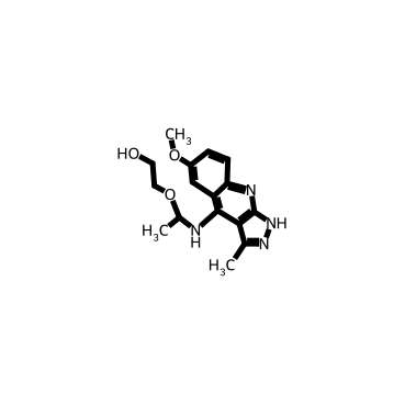 COc1ccc2nc3[nH]nc(C)c3c(NC(C)OCCO)c2c1